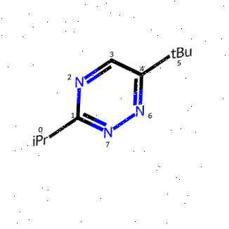 CC(C)c1ncc(C(C)(C)C)nn1